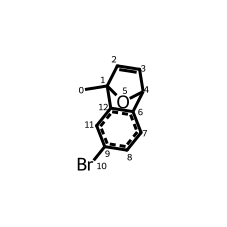 CC12C=CC(O1)c1ccc(Br)cc12